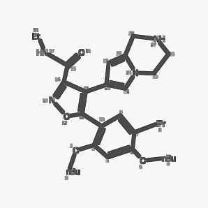 CCCCOc1cc(OCCCC)c(C(C)C)cc1-c1onc(C(=O)NCC)c1-c1cc2n(c1)CCNC2